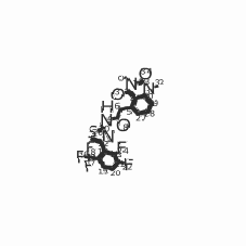 Cn1c(=O)c2c(CC(=O)Nc3nc(-c4c(C(F)(F)F)ccc(F)c4F)cs3)cccc2n(C)c1=O